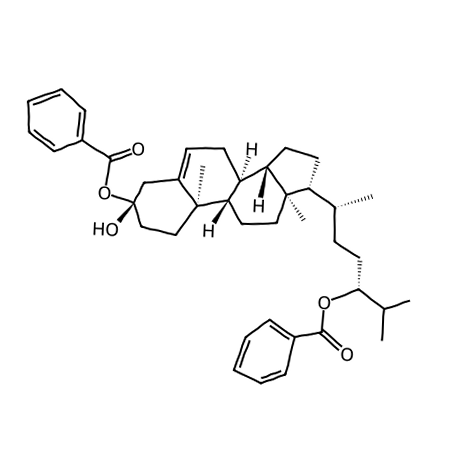 CC(C)[C@@H](CC[C@@H](C)[C@H]1CC[C@H]2[C@@H]3CC=C4C[C@@](O)(OC(=O)c5ccccc5)CC[C@]4(C)[C@H]3CC[C@]12C)OC(=O)c1ccccc1